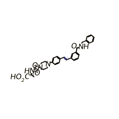 C[C@@H](NS(=O)(=O)N1CCN(c2ccc(/C=C/c3cccc(C(=O)NCc4ccccc4)c3)cc2)CC1)C(=O)O